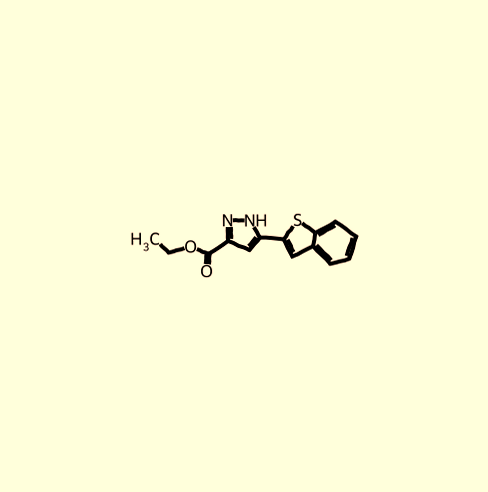 CCOC(=O)c1cc(-c2cc3ccccc3s2)[nH]n1